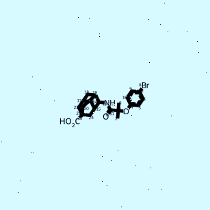 CC(C)(Oc1ccc(Br)cc1)C(=O)NC1C2CC3CC1CC(C(=O)O)(C3)C2